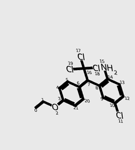 CCOc1ccc(C(c2cc(Cl)ccc2N)C(Cl)(Cl)Cl)cc1